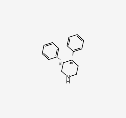 c1ccc([C@H]2CNCC[C@H]2c2ccccc2)cc1